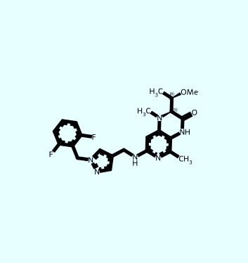 CO[C@H](C)[C@H]1C(=O)Nc2c(cc(NCc3cnn(Cc4c(F)cccc4F)c3)nc2C)N1C